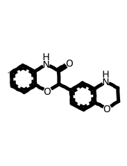 O=C1Nc2c[c]ccc2OC1c1ccc2c(c1)NCCO2